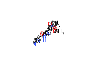 COC(=O)c1cc(-c2ccc(NC(=O)CCc3ccc(C#N)nc3)cn2)ccc1N(CC1CC1)C(C)=O